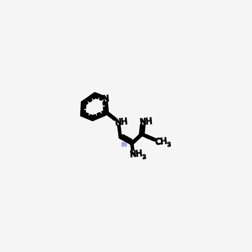 CC(=N)/C(N)=C\Nc1ccccn1